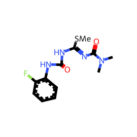 CSC(=NC(=O)N(C)C)NC(=O)Nc1ccccc1F